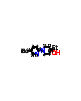 CCC(C)c1ccc(N2CCC(O)(CC)CC2)nc1